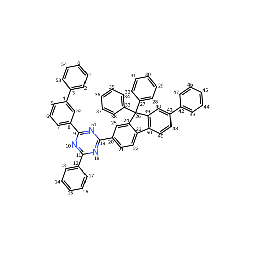 c1ccc(-c2cccc(-c3nc(-c4ccccc4)nc(-c4ccc5c(c4)C(c4ccccc4)(c4ccccc4)c4cc(-c6ccccc6)ccc4-5)n3)c2)cc1